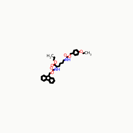 C=CCOC(=O)C(CCCCNC(=O)OCc1ccc(OCC)cc1)NC(=O)OCC1c2ccccc2-c2ccccc21